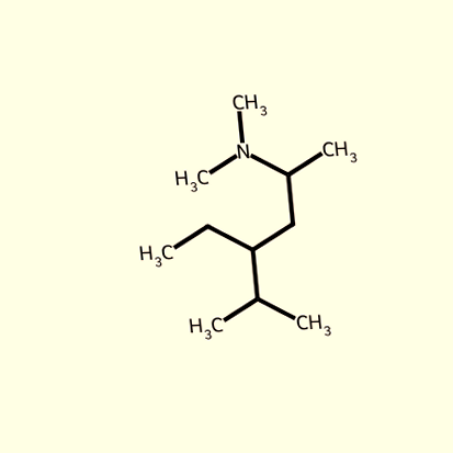 CCC(CC(C)N(C)C)C(C)C